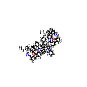 C[Si](C)(C)c1ccc(N(c2cc3c(c4ccccc24)-c2c(cc(N(c4ccc([Si](C)(C)C)cc4)c4cccc5c4oc4c(C#N)cccc45)c4ccccc24)C32c3ccccc3-n3c4ccccc4c4cccc2c43)c2cccc3c2oc2c(C#N)cccc23)cc1